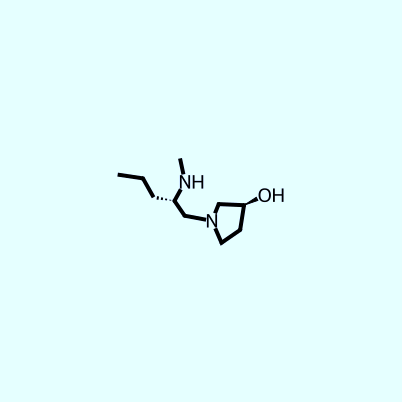 CCC[C@@H](CN1CC[C@H](O)C1)NC